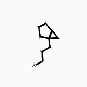 SCCCC12CCCC1C2